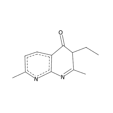 CCC1C(=O)c2ccc(C)nc2N=C1C